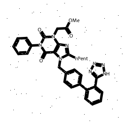 CCCCCc1nc2c(c(=O)n(-c3ccccc3)c(=O)n2CC(=O)OC)n1Cc1ccc(-c2ccccc2-c2nnn[nH]2)cc1